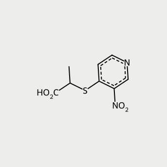 CC(Sc1ccncc1[N+](=O)[O-])C(=O)O